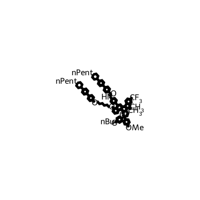 CCCCCC1CCC(c2ccc(-c3ccc(OCCCCCCOc4cccc5c4c(-c4ccc(NC(=O)c6ccc(-c7ccc(C8CCC(CCCCC)CC8)cc7)cc6)cc4)cc4c6c(c7c(c45)OC(c4ccc(OC)cc4)(c4ccc(OCCCC)cc4)C=C7)C(C)(C)c4cc(C(F)(F)F)ccc4-6)cc3)cc2)CC1